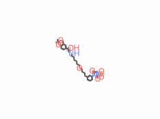 CC1(C)OCc2cc([C@H](O)CNCCCCCCOCCCCc3cccc(N4C(=O)CN(S(C)(=O)=O)C4=O)c3)ccc2O1